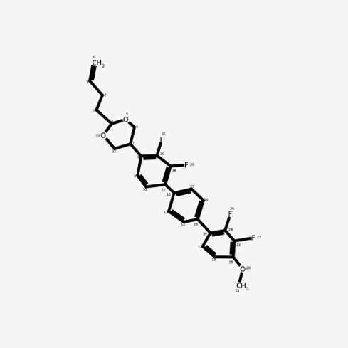 C=CCCC1OCC(c2ccc(-c3ccc(-c4ccc(OC)c(F)c4F)cc3)c(F)c2F)CO1